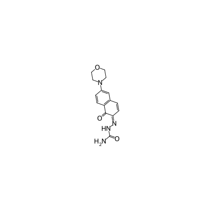 NC(=O)NN=C1C=Cc2cc(N3CCOCC3)ccc2C1=O